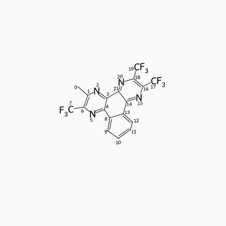 Cc1nc2c(nc1C(F)(F)F)c1ccccc1c1nc(C(F)(F)F)c(C(F)(F)F)nc12